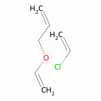 C=CCOC=C.C=CCl